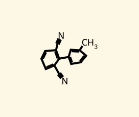 Cc1cccc(-c2c(C#N)cccc2C#N)c1